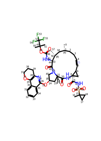 C[C@@H]1CC/C=C\C2C[C@@]2(C(=O)NS(=O)(=O)C2(C)CC2)NC(=O)[C@@H]2C[C@@H](Oc3nc4c(c5ccccc35)OCCC4)CN2C(=O)[C@@H](NC(=O)OC(C)(C)C(F)(F)F)[C@H](C)C1